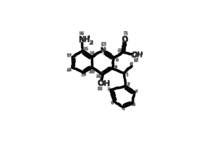 CC(c1ccccc1)c1c(C(=O)O)nc2c(N)cccc2c1O